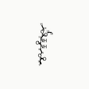 C=CC(=O)OCCNC(=O)NCC(OCC)OCC